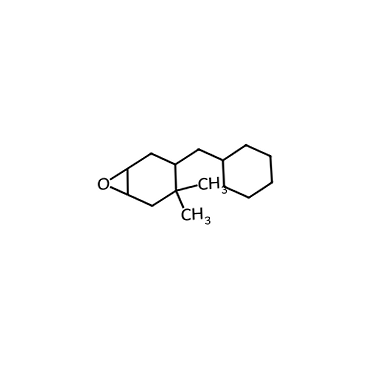 CC1(C)CC2OC2CC1CC1CCCCC1